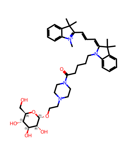 C[N+]1=C(C=CC=C2N(CCCCC(=O)N3CCN(CCO[C@H]4O[C@H](CO)[C@@H](O)[C@H](O)[C@H]4O)CC3)c3ccccc3C2(C)C)C(C)(C)c2ccccc21